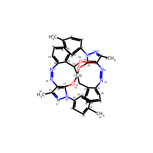 Cc1ccc(-n2nc(C)c3c2[O][Co]2([CH2]c4ccccc4N=N3)[O]c3c(c(C)nn3-c3ccc(C)cc3)N=Nc3ccccc3[CH]2OO)cc1